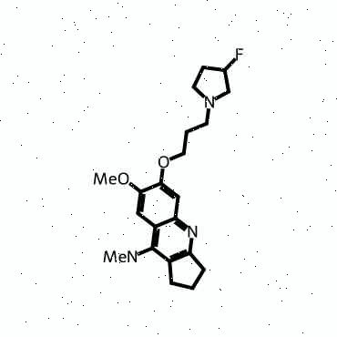 CNc1c2c(nc3cc(OCCCN4CCC(F)C4)c(OC)cc13)CCC2